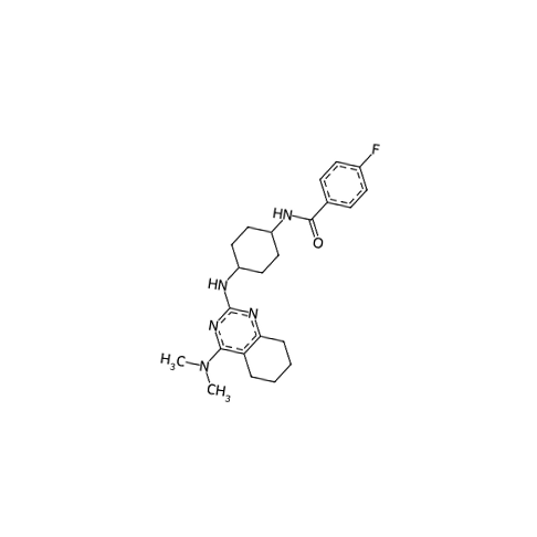 CN(C)c1nc(NC2CCC(NC(=O)c3ccc(F)cc3)CC2)nc2c1CCCC2